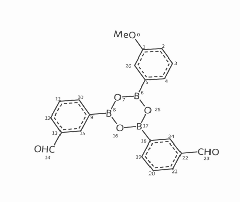 COc1cccc(B2OB(c3cccc(C=O)c3)OB(c3cccc(C=O)c3)O2)c1